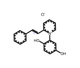 Oc1ccc(O)c(-[n+]2ccccc2/C=C/c2ccccc2)c1.[Cl-]